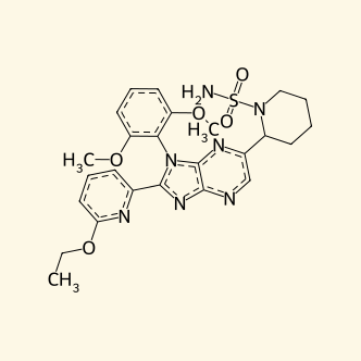 CCOc1cccc(-c2nc3ncc(C4CCCCN4S(N)(=O)=O)nc3n2-c2c(OC)cccc2OC)n1